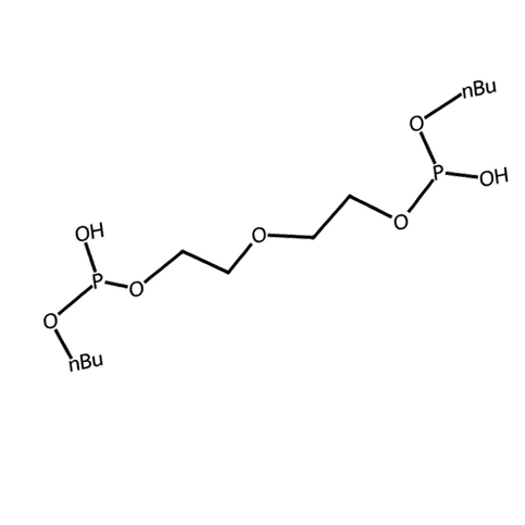 CCCCOP(O)OCCOCCOP(O)OCCCC